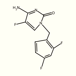 Nc1nc(=O)n(Cc2ccc(F)cc2F)cc1F